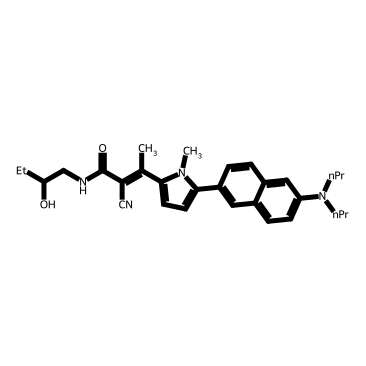 CCCN(CCC)c1ccc2cc(-c3ccc(/C(C)=C(\C#N)C(=O)NCC(O)CC)n3C)ccc2c1